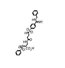 N=C(NCc1ccccc1)c1ccc(S(=O)(=O)NCCC(=O)NC[C@H](NS(=O)(=O)c2ccccc2)C(=O)O)cc1